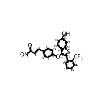 O=NC(=O)/C=C/c1ccc(Oc2c(-c3ccccc3C(F)(F)F)sc3cc(O)ccc23)cc1